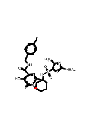 CC(=O)Nc1nc(C)c(S(=O)(=O)NC23CCC(CC2)Cn2c3nc(C(=O)NCc3ccc(F)cc3)c(O)c2=O)s1